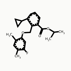 Cc1cc(C)c(OCc2c(C(=O)OC(C)C)cccc2C2CC2)cc1F